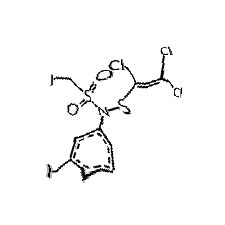 O=S(=O)(CI)N(SC(Cl)=C(Cl)Cl)c1cccc(I)c1